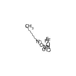 CCCCCCCCCCCCN1CCc2cc(NC(=O)c3ccccc3-c3ccc(C(F)(F)F)cc3)ccc2C1